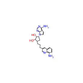 Nc1ncnc2c1ccn2[C@@H]1CC(CCCc2cnc3c(N)cccc3c2)[C@@H](O)[C@H]1O